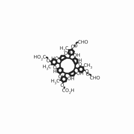 Cc1cc(C2c3cc(c(O)cc3O)C(c3ccc(OCC(=O)O)c(C)c3)c3cc(c(O)cc3O)C(c3ccc(OOCC=O)c(C)c3)c3cc(c(O)cc3O)C(c3ccc(OOCC=O)c(C)c3)c3cc2c(O)cc3O)ccc1OCC(=O)O